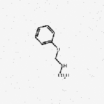 O=C(O)NCOc1ccccc1